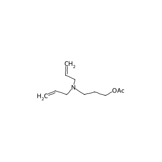 C=CCN(CC=C)CCCOC(C)=O